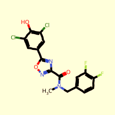 CN(Cc1ccc(F)c(F)c1)C(=O)c1noc(-c2cc(Cl)c(O)c(Cl)c2)n1